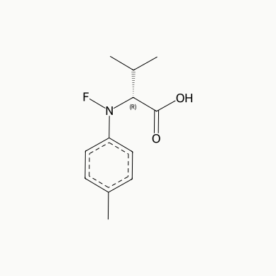 Cc1ccc(N(F)[C@@H](C(=O)O)C(C)C)cc1